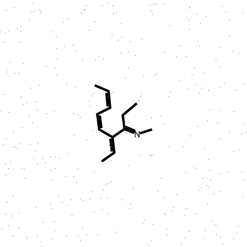 C\C=C/C=C\C(=C/C)C(\CC)=N\C